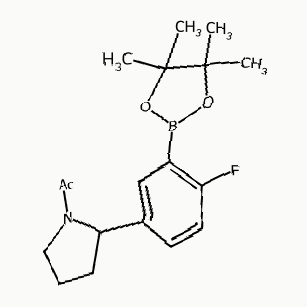 CC(=O)N1CCCC1c1ccc(F)c(B2OC(C)(C)C(C)(C)O2)c1